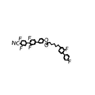 N#Cc1c(F)cc(-c2c(F)cc(-c3ccc(OC(=O)CCCCCc4ccc(-c5ccc(F)cc5)c(F)c4)cc3)cc2F)cc1F